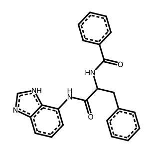 O=C(NC(Cc1ccccc1)C(=O)Nc1cccc2nc[nH]c12)c1ccccc1